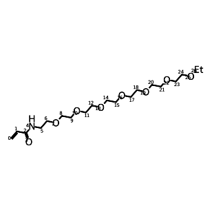 C=CC(=O)NCCOCCOCCOCCOCCOCCOCCOCC